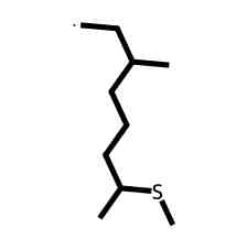 [CH2]CC(C)CCCC(C)SC